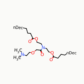 CCCCCCCCCCCCCC(=O)OCCN(CCOC(=O)CCCCCCCCCCCCC)C(=O)COCCN(C)C